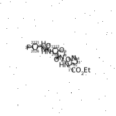 CCOC(=O)C[C@H](NC(=O)CN1CCOc2ccc(NC(=O)NCc3ccc(F)cc3)cc2C1=O)c1cccnc1